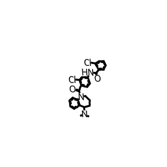 CN(C)C1CCCN(C(=O)c2ccc(NC(=O)c3ccccc3Cl)cc2Cl)c2ccccc21